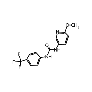 COc1ccc(NC(=O)Nc2ccc(C(F)(F)F)cc2)cn1